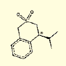 CC(C)[C@@H]1CS(=O)(=O)Cc2ccccc21